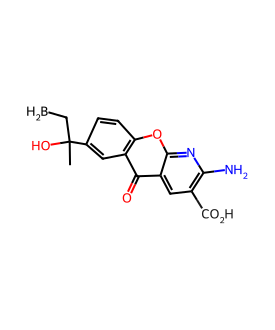 BCC(C)(O)c1ccc2oc3nc(N)c(C(=O)O)cc3c(=O)c2c1